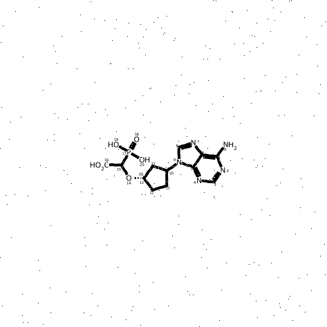 Nc1ncnc2c1ncn2C1CC[C@H](OC(C(=O)O)P(=O)(O)O)C1